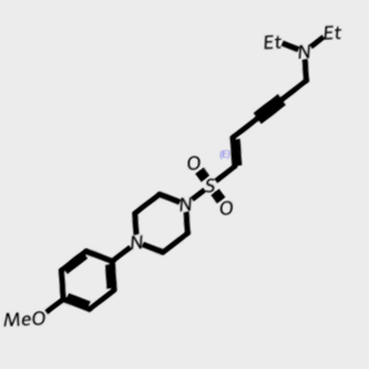 CCN(CC)CC#C/C=C/S(=O)(=O)N1CCN(c2ccc(OC)cc2)CC1